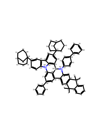 CC1(C)c2ccccc2C(C)(C)c2cc3c(cc21)-c1cc(-c2ccccc2)cc2c1B(c1cc(C45CCCC(CCC4)C5)cc4c5cc(C67CCCC(CCC6)C7)ccc5n-2c14)N3c1ccc(-c2ccccc2)cc1